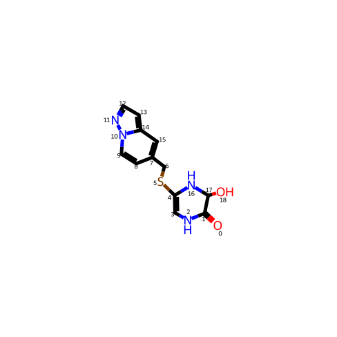 O=C1NC=C(SCc2ccn3nccc3c2)NC1O